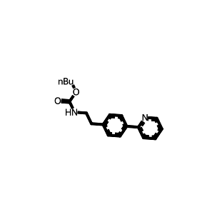 CCCCOC(=O)NCCc1ccc(-c2ccccn2)cc1